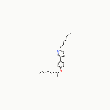 CCCCCCc1ccc(-c2ccc(OC(C)CCCCCC)cc2)cn1